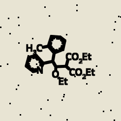 CCOC(=O)C(C(=O)OCC)C(OCC)C(c1ccccn1)c1ccccc1C